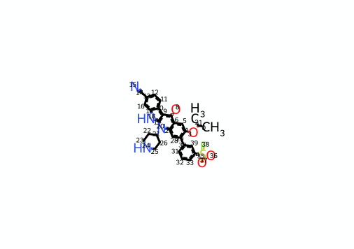 CC(C)Oc1cc2c(=O)c3c4ccc(C#N)cc4[nH]c3n(C3CCNCC3)c2cc1-c1cccc(S(=O)(=O)F)c1